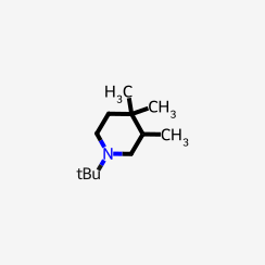 CC1CN(C(C)(C)C)CCC1(C)C